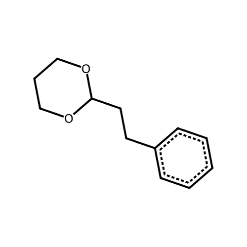 c1ccc(CCC2OCCCO2)cc1